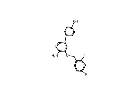 Nc1ncc(-c2ccc(O)cc2)cc1OCc1ccc(F)cc1Cl